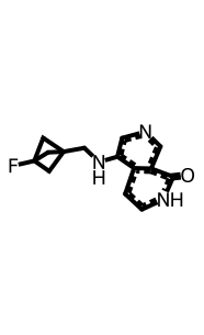 O=c1[nH]ccc2c(NCC34CC(F)(C3)C4)cncc12